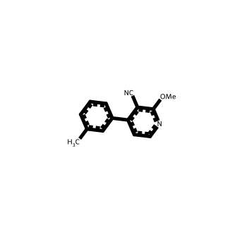 COc1nccc(-c2cccc(C)c2)c1C#N